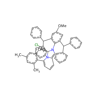 COc1cc(C(c2ccccc2)c2ccccc2)c(N2C=C3C=CC=C(c4c(C)cc(C)cc4C)N3[CH]2[Ag][Cl])c(C(c2ccccc2)c2ccccc2)c1